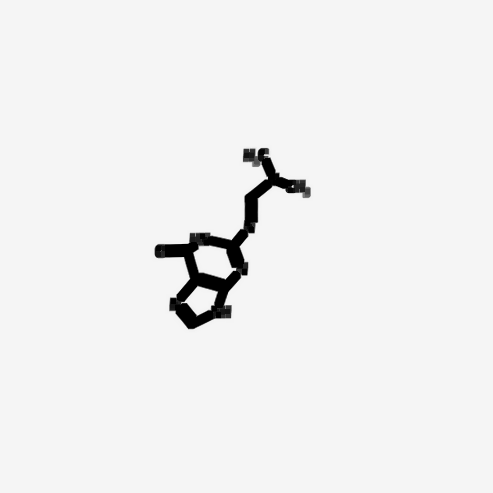 CN(C)/C=N/c1nc2[nH]cnc2c(=O)[nH]1